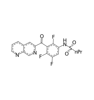 CCCS(=O)(=O)Nc1cc(F)c(F)c(C(=O)c2cc3cccnc3cn2)c1F